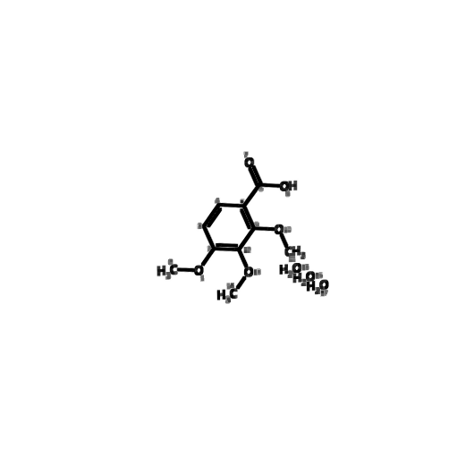 COc1ccc(C(=O)O)c(OC)c1OC.O.O.O